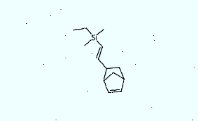 CC[Si](C)(C)C=CC1CC2C=CC1C2